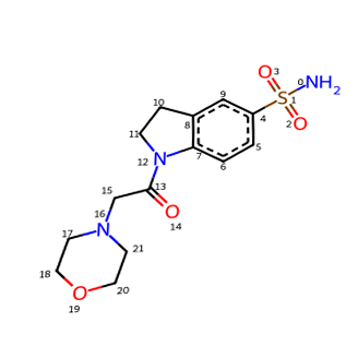 NS(=O)(=O)c1ccc2c(c1)CCN2C(=O)CN1CCOCC1